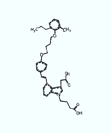 CCCc1cccc(C)c1OCCCCOc1ccc(C=Cc2cccc3c2c(CC(=O)O)cn3CCCC(=O)O)cc1